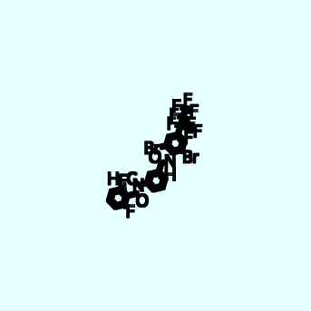 CN(C(=O)c1c(F)cccc1F)c1cccc(C(=O)Nc2c(Br)cc(C(F)(C(F)(F)F)C(F)(F)C(F)(F)F)cc2Br)c1